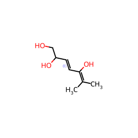 CC(C)=C(O)/C=C/C(O)CO